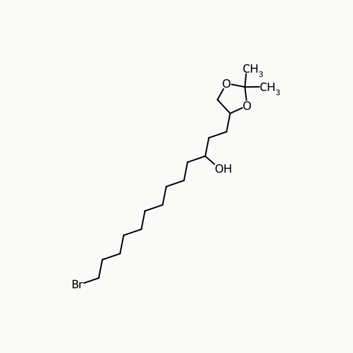 CC1(C)OCC(CCC(O)CCCCCCCCCCBr)O1